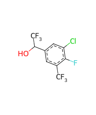 OC(c1cc(Cl)c(F)c(C(F)(F)F)c1)C(F)(F)F